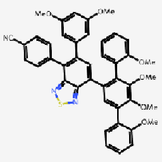 COc1cc(OC)cc(-c2[c]c(-c3cc(-c4ccccc4OC)c(OC)c(OC)c3-c3ccccc3OC)c3nsnc3c2-c2ccc(C#N)cc2)c1